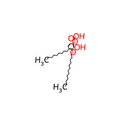 CCCCCCCCCCCCCOc1c(CCCCCCCCC)ccc(OC(=O)O)c1O